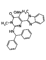 COc1c(-c2nc3ccccc3n2C)nc(NC(c2ccccc2)c2ccccc2)n(C)c1=O